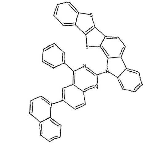 c1ccc(-c2nc(-n3c4ccccc4c4ccc5c6sc7ccccc7c6sc5c43)nc3ccc(-c4cccc5ccccc45)cc23)cc1